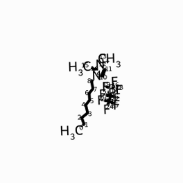 CCCCCCCCCn1cc[n+](C)c1C.F[B-](F)(F)C(F)(F)C(F)(F)F